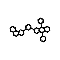 c1ccc(-c2c3ccccc3c(-c3ccccc3)c3cc(-c4cccc(-c5ccc6ccc7ccccc7c6n5)c4)ccc23)cc1